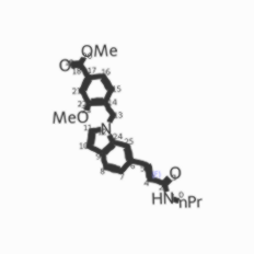 CCCNC(=O)/C=C/c1ccc2ccn(Cc3ccc(C(=O)OC)cc3OC)c2c1